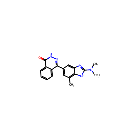 Cc1cc(-c2n[nH]c(=O)c3ccccc23)cc2nc(N(C)C(=O)O)[nH]c12